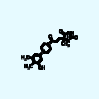 Cc1cc(N2CCN(C(=O)CCC3(C)NC(=O)NC3=O)CC2)cc(O)c1C